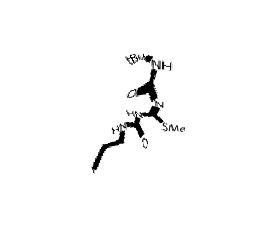 CSC(=NC(=O)NC(C)(C)C)NC(=O)NCCI